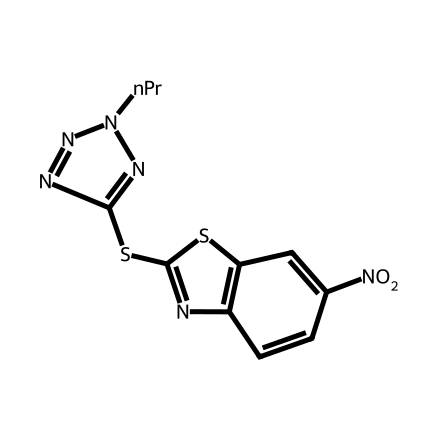 CCCn1nnc(Sc2nc3ccc([N+](=O)[O-])cc3s2)n1